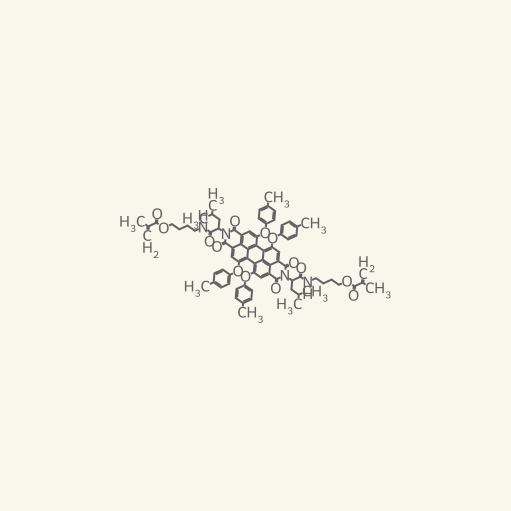 C=C(C)C(=O)OCCCCNC(=O)C(CC(C)C)N1C(=O)c2cc(Oc3ccc(C)cc3)c3c4c(Oc5ccc(C)cc5)cc5c6c(cc(Oc7ccc(C)cc7)c(c7c(Oc8ccc(C)cc8)cc(c2c37)C1=O)c64)C(=O)N(C(CC(C)C)C(=O)NCCCCOC(=O)C(=C)C)C5=O